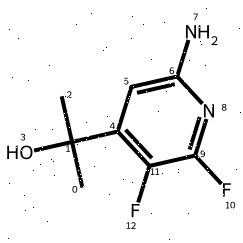 CC(C)(O)c1cc(N)nc(F)c1F